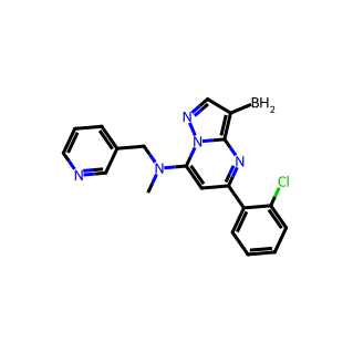 Bc1cnn2c(N(C)Cc3cccnc3)cc(-c3ccccc3Cl)nc12